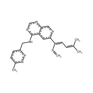 C=N/C(=C\C=C(C)C)c1cc2c(NCc3ccc(C)nn3)ncnc2cn1